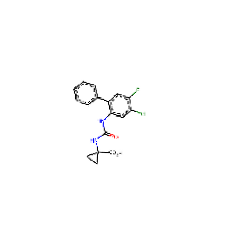 O=C(Nc1cc(Cl)c(F)cc1-c1ccccc1)NC1(C(=O)O)CC1